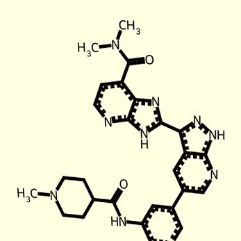 CN1CCC(C(=O)Nc2cncc(-c3cnc4[nH]nc(-c5nc6c(C(=O)N(C)C)ccnc6[nH]5)c4c3)c2)CC1